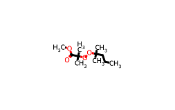 CCCC(C)(C)OOC(C)(C)C(=O)OC